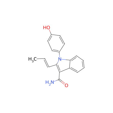 CC=Cc1c(C(N)=O)c2ccccc2n1-c1ccc(O)cc1